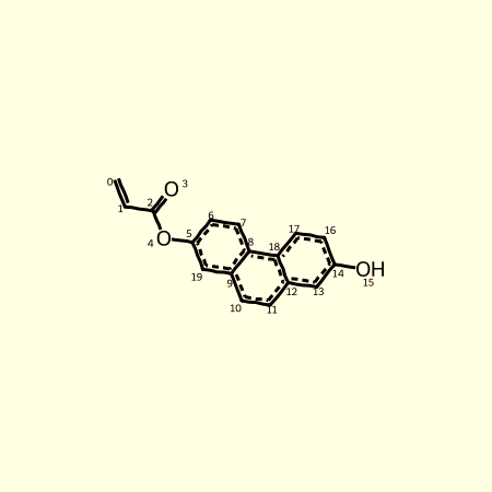 C=CC(=O)Oc1ccc2c(ccc3cc(O)ccc32)c1